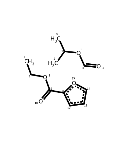 CC(C)OC=O.CCOC(=O)c1ccco1